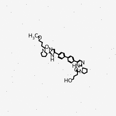 COCCCC(=O)N1CCC[C@H]1c1ncc(-c2ccc(-c3ccc(-c4cnc([C@@H]5CCCN5C(=O)CCCO)[nH]4)cc3)cc2)[nH]1